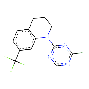 FC(F)(F)c1ccc2c(c1)N(c1ncnc(Cl)n1)CCC2